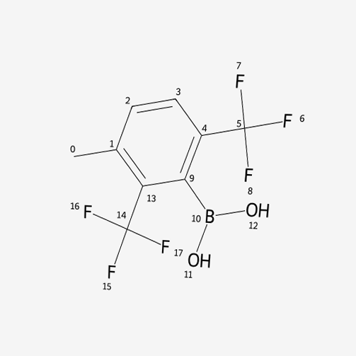 Cc1ccc(C(F)(F)F)c(B(O)O)c1C(F)(F)F